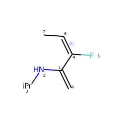 C=C(NC(C)C)/C(F)=C\C